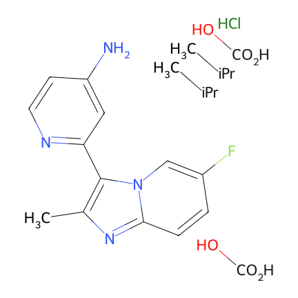 CC(C)C.CC(C)C.Cc1nc2ccc(F)cn2c1-c1cc(N)ccn1.Cl.O=C(O)O.O=C(O)O